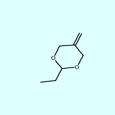 C=C1COC(CC)OC1